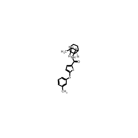 Cc1cccc(Sc2ccc(C(=O)N[C@@H]3C4CCN(CC4)[C@H]3C)s2)c1